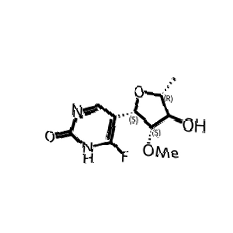 CO[C@H]1C(O)[C@@H](C)O[C@H]1c1cnc(=O)[nH]c1F